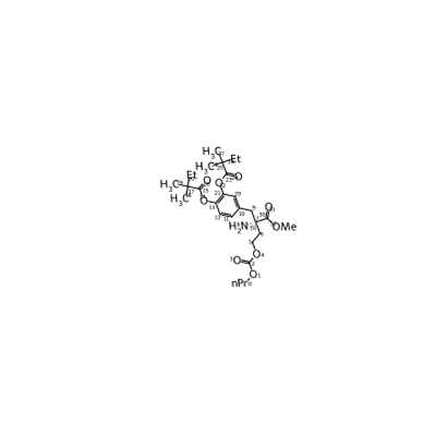 CCCOC(=O)OCC[C@@](N)(Cc1ccc(OC(=O)C(C)(C)CC)c(OC(=O)C(C)(C)CC)c1)C(=O)OC